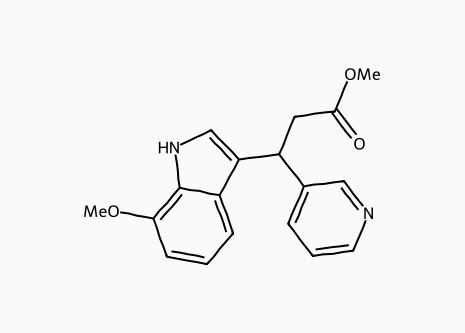 COC(=O)CC(c1cccnc1)c1c[nH]c2c(OC)cccc12